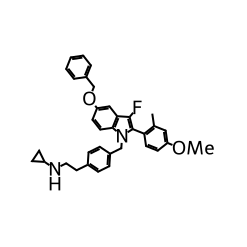 COc1ccc(-c2c(F)c3cc(OCc4ccccc4)ccc3n2Cc2ccc(CCNC3CC3)cc2)c(C)c1